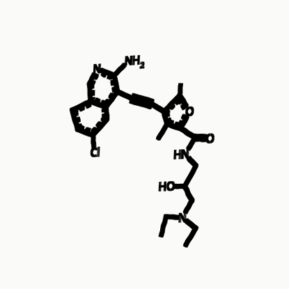 CCN(CC)CC(O)CNC(=O)c1oc(C)c(C#Cc2c(N)ncc3ccc(Cl)cc23)c1C